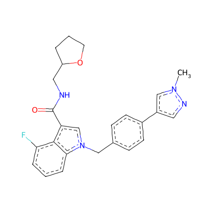 Cn1cc(-c2ccc(Cn3cc(C(=O)NCC4CCCO4)c4c(F)cccc43)cc2)cn1